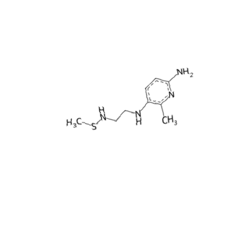 CSNCCNc1ccc(N)nc1C